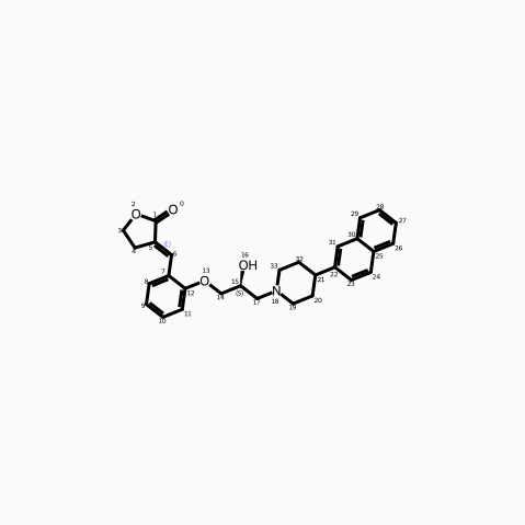 O=C1OCC/C1=C\c1ccccc1OC[C@@H](O)CN1CCC(c2ccc3ccccc3c2)CC1